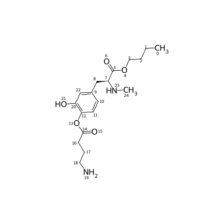 CCCCOC(=O)[C@H](Cc1ccc(OC(=O)CCCN)c(O)c1)NC